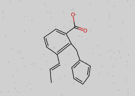 C/C=C/c1cccc(C([O])=O)c1Cc1ccccc1